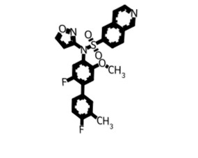 COc1cc(-c2ccc(F)c(C)c2)c(F)cc1N(c1ccon1)S(=O)(=O)c1ccc2cnccc2c1